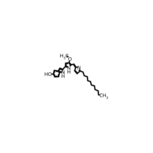 CCCCCCCCCCCC1=NC(=Cc2[nH]c(-c3cc4cc(O)ccc4[nH]3)cc2OC)C=C1